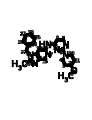 COC1CCN(c2nccc(Nc3cc4c(cn3)nc(C)n4Cc3ccccc3)n2)CC1